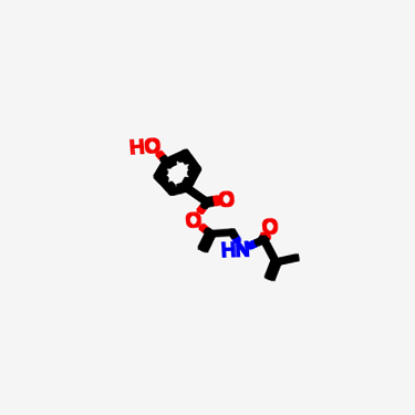 C=C(CNC(=O)C(=C)C)OC(=O)c1ccc(O)cc1